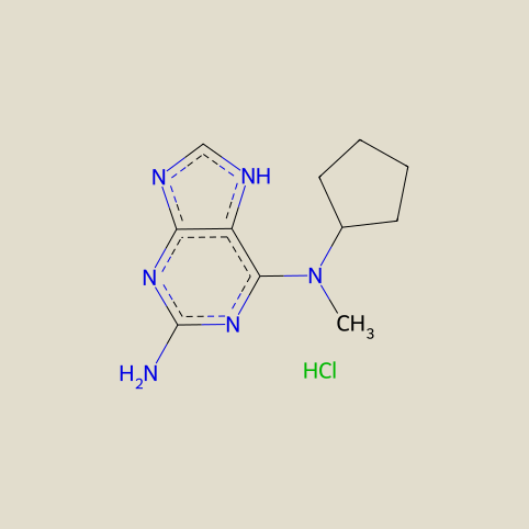 CN(c1nc(N)nc2nc[nH]c12)C1CCCC1.Cl